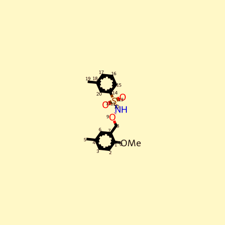 COc1ccc(C)cc1CONS(=O)(=O)c1cccc(C)c1